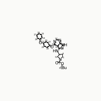 CC(C)(C)OC(=O)N1CCC(Nc2n[nH]c3ncnc(Oc4ccc(Oc5ccccc5)cc4)c23)C1